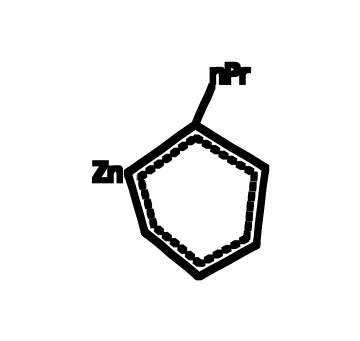 CCCc1ccccc1.[Zn]